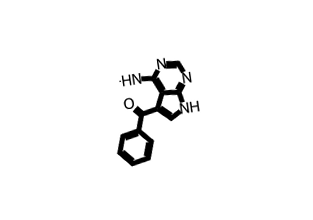 [NH]c1ncnc2[nH]cc(C(=O)c3ccccc3)c12